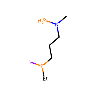 CCP(I)CCCN(C)P